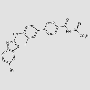 CC[C@H](NC(=O)c1ccc(-c2ccc(Nc3nc4ccc(C(C)C)cc4s3)c(F)c2)cc1)C(=O)O